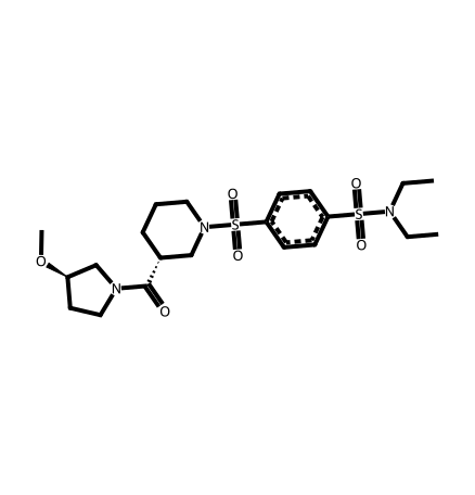 CCN(CC)S(=O)(=O)c1ccc(S(=O)(=O)N2CCC[C@@H](C(=O)N3CC[C@@H](OC)C3)C2)cc1